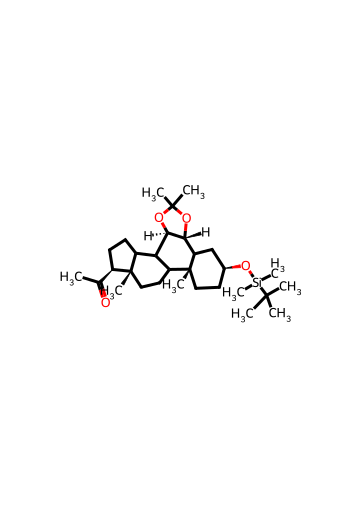 CC(=O)[C@H]1CCC2C3C(CC[C@@]21C)[C@@]1(C)CC[C@H](O[Si](C)(C)C(C)(C)C)CC1[C@H]1OC(C)(C)O[C@H]31